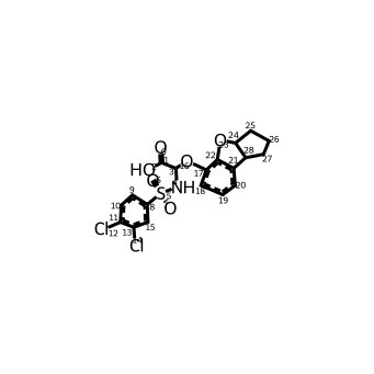 O=C(O)C(NS(=O)(=O)c1ccc(Cl)c(Cl)c1)Oc1cccc2c1OC1CCCC21